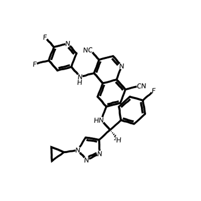 [2H][C@](Nc1cc(C#N)c2ncc(C#N)c(Nc3cnc(F)c(F)c3)c2c1)(c1ccc(F)cc1)c1cn(C2CC2)nn1